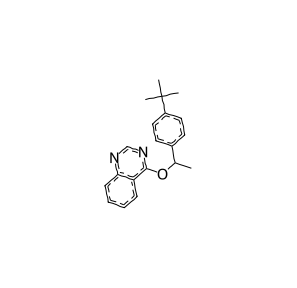 CC(Oc1ncnc2ccccc12)c1ccc(C(C)(C)C)cc1